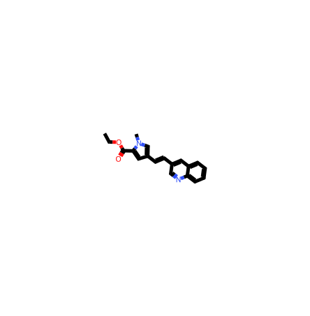 CCOC(=O)c1cc(/C=C/c2cnc3ccccc3c2)cn1C